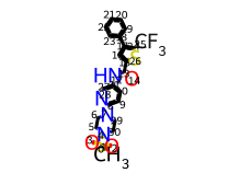 CS(=O)(=O)N1CCN(c2ccc(NC(=O)c3cc(-c4ccccc4)c(C(F)(F)F)s3)cn2)CC1